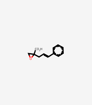 O=C(O)C1(CC=Cc2ccccc2)CO1